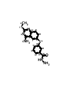 CSc1nc(N)c2cc(Sc3cccc(C(=O)NN)c3)ccc2n1